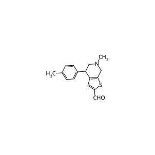 Cc1ccc(C2CN(C)Cc3sc(C=O)cc32)cc1